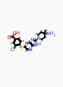 CC1(N)CCN(c2nc3nc(Sc4ccc(C(=O)O)cc4Cl)cnc3[nH]2)CC1